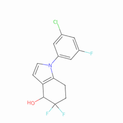 OC1c2ccn(-c3cc(F)cc(Cl)c3)c2CCC1(F)F